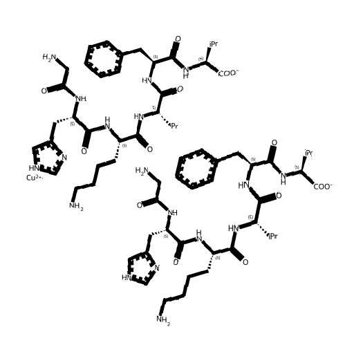 CC(C)[C@H](NC(=O)[C@H](Cc1ccccc1)NC(=O)[C@@H](NC(=O)[C@H](CCCCN)NC(=O)[C@H](Cc1c[nH]cn1)NC(=O)CN)C(C)C)C(=O)[O-].CC(C)[C@H](NC(=O)[C@H](Cc1ccccc1)NC(=O)[C@@H](NC(=O)[C@H](CCCCN)NC(=O)[C@H](Cc1c[nH]cn1)NC(=O)CN)C(C)C)C(=O)[O-].[Cu+2]